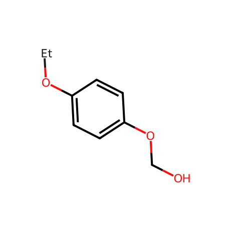 CCOc1ccc(OCO)cc1